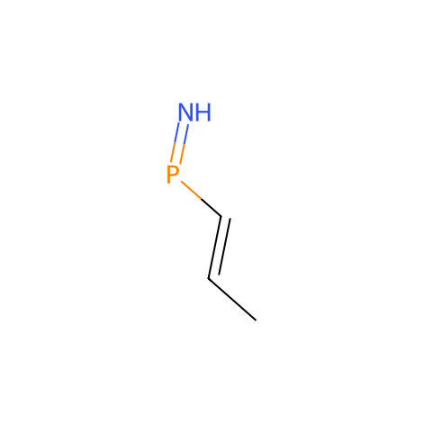 CC=CP=N